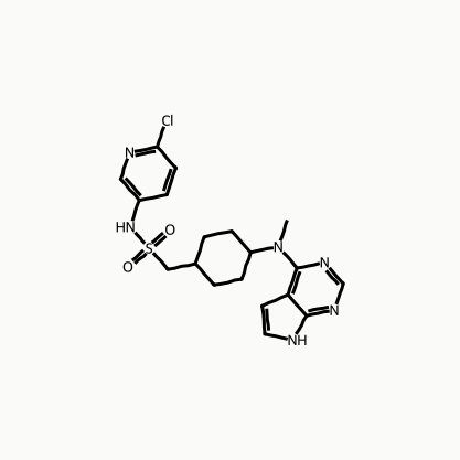 CN(c1ncnc2[nH]ccc12)C1CCC(CS(=O)(=O)Nc2ccc(Cl)nc2)CC1